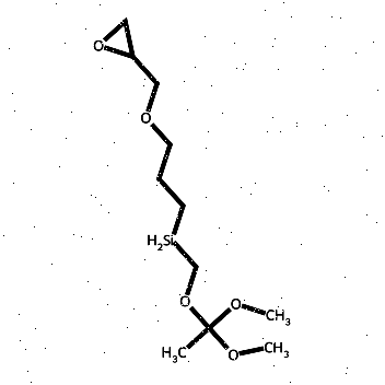 COC(C)(OC)OC[SiH2]CCCOCC1CO1